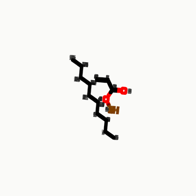 C=CC(=O)OS.CCCCCCCCCC